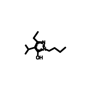 CCCCn1nc(CC)c(C(C)C)c1O